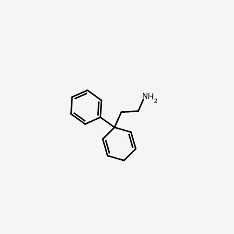 NCCC1(c2ccccc2)C=CCC=C1